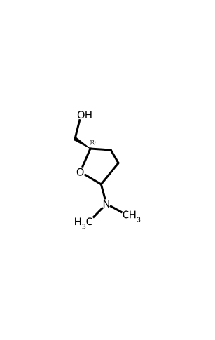 CN(C)C1CC[C@H](CO)O1